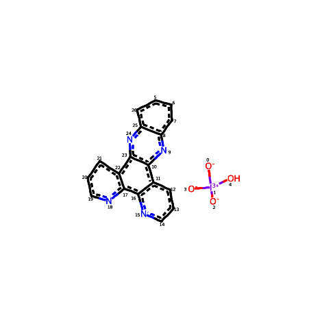 [O-][I+3]([O-])([O-])O.c1ccc2nc3c4cccnc4c4ncccc4c3nc2c1